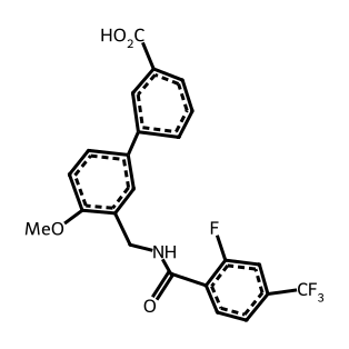 COc1ccc(-c2cccc(C(=O)O)c2)cc1CNC(=O)c1ccc(C(F)(F)F)cc1F